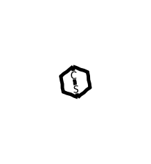 C1CC2CCC1CS2